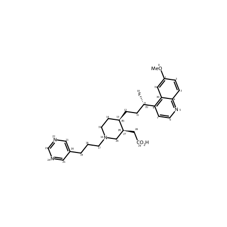 COc1ccc2nccc([C@@H](F)CC[C@@H]3CCN(CCCc4cncnc4)C[C@@H]3CC(=O)O)c2c1